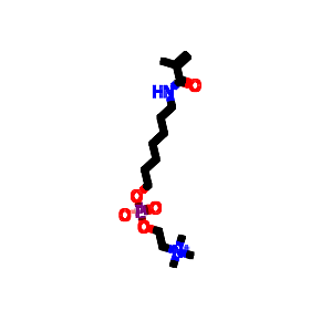 C=C(C)C(=O)NCCCCCCCOP(=O)([O-])OCC[N+](C)(C)C